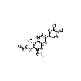 COc1ncc(-c2ccc(Cl)c(Cl)c2)cc1CN(C)CCOC=O